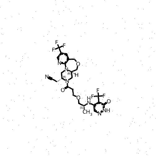 C[C@@H](COCCC(=O)N1C[C@@H]2COCc3cc(C(F)(F)F)cnc3N2C[C@H]1CC#N)Nc1cn[nH]c(=O)c1C(F)(F)F